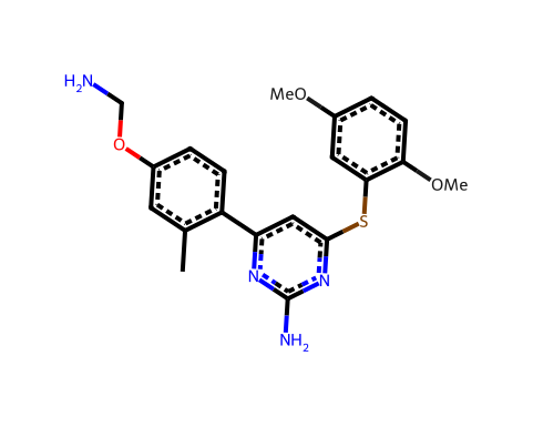 COc1ccc(OC)c(Sc2cc(-c3ccc(OCN)cc3C)nc(N)n2)c1